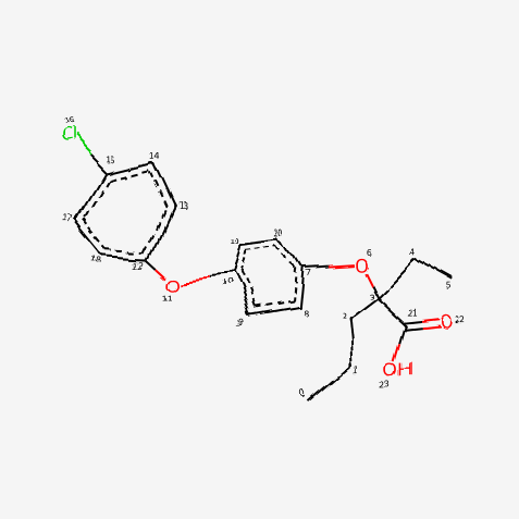 CCCC(CC)(Oc1ccc(Oc2ccc(Cl)cc2)cc1)C(=O)O